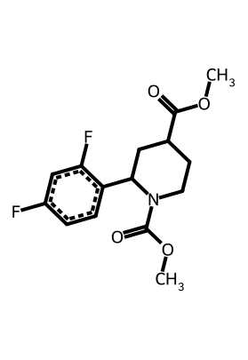 COC(=O)C1CCN(C(=O)OC)C(c2ccc(F)cc2F)C1